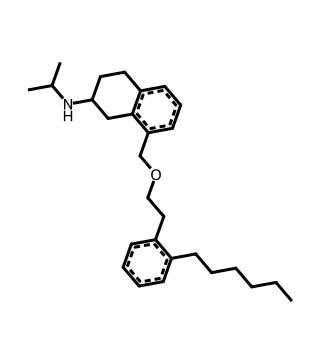 CCCCCCc1ccccc1CCOCc1cccc2c1CC(NC(C)C)CC2